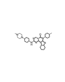 Cc1ccc(-n2c(=O)c3cnc(Nc4ccc(N5CCN(C)CC5)cc4)nc3n3c4ccccc4nc23)cc1